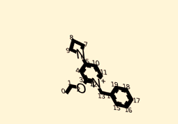 CCOc1cc(N2CCC2)cc[n+]1Cc1ccccc1